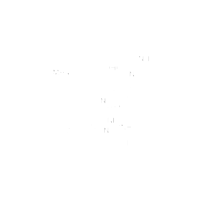 CNCCCCCC(c1cccc(N2CCNCC2C=O)c1)N1CCC(c2cc(Cl)ccc2N(N)/C=C(\N)Cl)=CC1=O